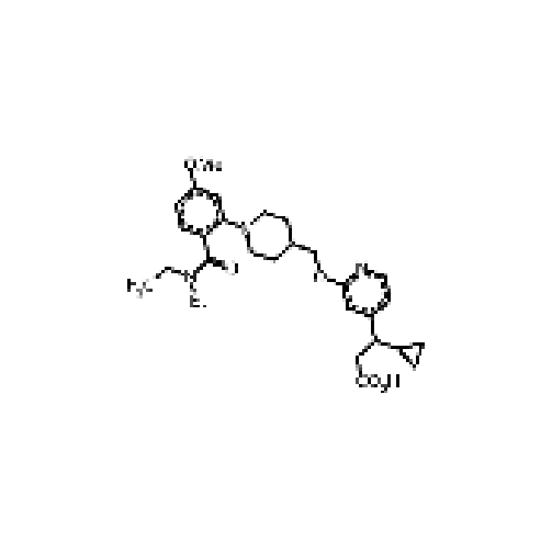 CCN(CC(F)(F)F)C(=O)c1ccc(OC)cc1N1CCC(COc2cc(C(CC(=O)O)C3CC3)ccn2)CC1